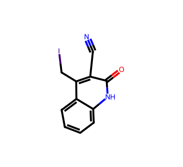 N#Cc1c(CI)c2ccccc2[nH]c1=O